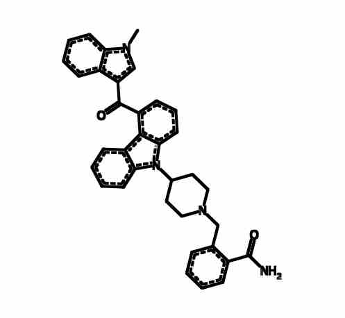 Cn1cc(C(=O)c2cccc3c2c2ccccc2n3C2CCN(Cc3ccccc3C(N)=O)CC2)c2ccccc21